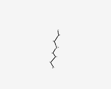 [CH2]CCCSCC[CH2]